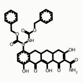 NC(=O)C1=C(O)CC2CC3Cc4c(N(NC(=O)OCc5ccccc5)C(=O)OCc5ccccc5)ccc(O)c4C(=O)C3=C(O)C2C1=O